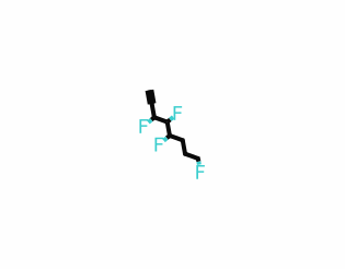 C#CC(F)C(F)C(F)CCCF